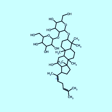 CC(C)=CC/C=C(/C)C1CCC2(C)C1C(O)CC1C3(C)CCC(OC4OC(CO)C(O)C(O)C4OC4OC(CO)C(O)C(O)C4O)C(C)(C)C3CCC12C